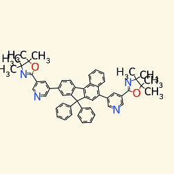 CC1(C)N=C(c2cncc(-c3ccc4c(c3)C(c3ccccc3)(c3ccccc3)c3cc(-c5cncc(C6=NC(C)(C)C(C)(C)O6)c5)c5ccccc5c3-4)c2)OC1(C)C